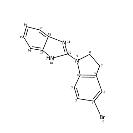 Brc1ccc2c(c1)CCN2c1nc2ccccc2[nH]1